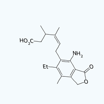 CCc1c(C)c2c(c(N)c1CC=C(C)C(C)CC(=O)O)C(=O)OC2